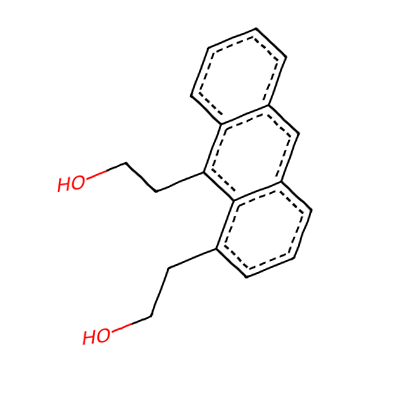 OCCc1cccc2cc3ccccc3c(CCO)c12